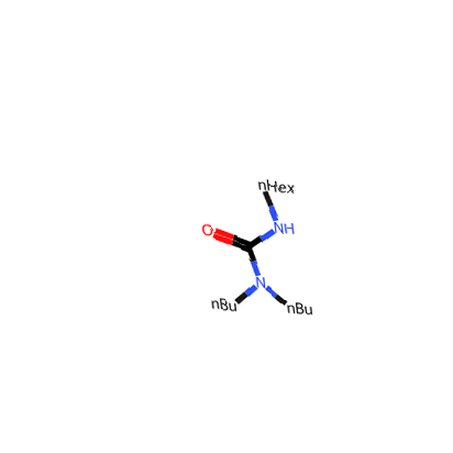 CCCCCCNC(=O)N(CCCC)CCCC